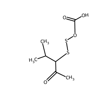 CC(=O)C(SSOC(=O)O)C(C)C